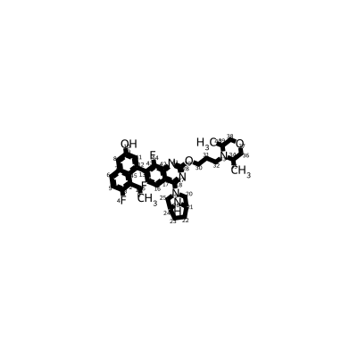 CCc1c(F)ccc2cc(O)cc(-c3c(F)cc4c(N5CC6CCC(C5)N6)nc(OCCCN5C(C)COCC5C)nc4c3F)c12